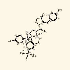 O=C1CC[C@@H](C(=O)N2CC[C@@]3(S(=O)(=O)c4ccc(F)cc4)c4ccc(C(F)(C(F)(F)F)C(F)(F)F)cc4CC[C@@H]23)N1Cc1ccc(F)cc1